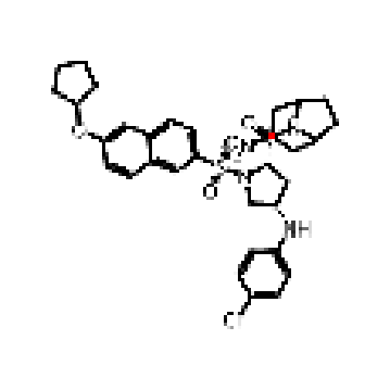 NC1CC2CCC(C1)N2C(=O)[C@@H]1C[C@H](Nc2ccc(Cl)cc2)CN1S(=O)(=O)c1ccc2cc(OC3CCCC3)ccc2c1